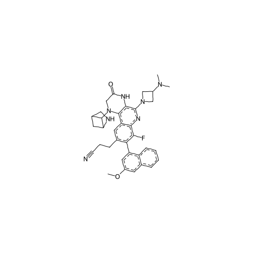 COc1cc(-c2c(CCC#N)cc3c4c(c(N5CC(N(C)C)C5)nc3c2F)NC(=O)CN4C2C3CNC2C3)c2ccccc2c1